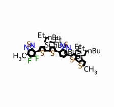 CCCCC(CC)C[Si]1(CC(CC)CCCC)c2cc(C)sc2-c2sc(-c3ccc(-c4cc5c(s4)-c4sc(-c6c(F)c(F)c(C)c7nsnc67)cc4[Si]5(CC(CC)CCCC)CC(CC)CCCC)c4nsnc34)cc21